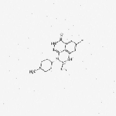 C[C@@H]1Nc2cc(F)cc3c(=O)[nH]nc(c23)[C@H]1C1CCN(C)CC1